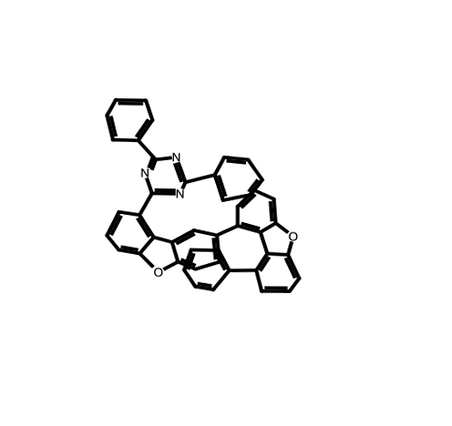 c1ccc(-c2nc(-c3ccccc3)nc(-c3cccc4oc5ccc(-c6cccc7oc8cccc(-c9ccccc9)c8c67)cc5c34)n2)cc1